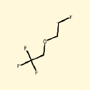 F[CH]COCC(F)(F)F